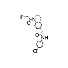 CC(C)CC(=O)N1CCCc2cc(CC(=O)Nc3ccc(Cl)cc3)ccc21